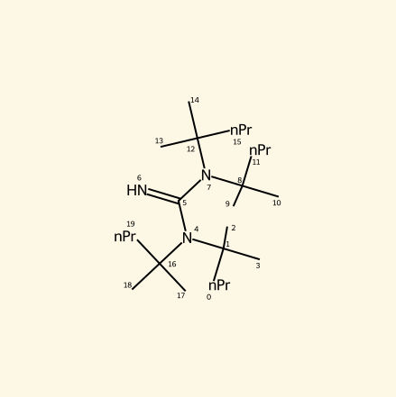 CCCC(C)(C)N(C(=N)N(C(C)(C)CCC)C(C)(C)CCC)C(C)(C)CCC